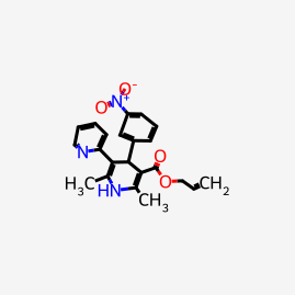 C=CCOC(=O)C1=C(C)NC(C)=C(c2ccccn2)C1c1cccc([N+](=O)[O-])c1